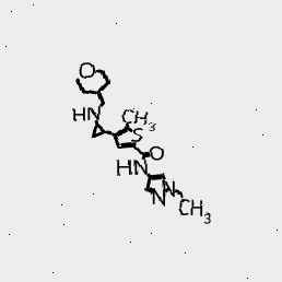 CCn1cc(NC(=O)c2cc(C3CC3NCC3CCOCC3)c(C)s2)cn1